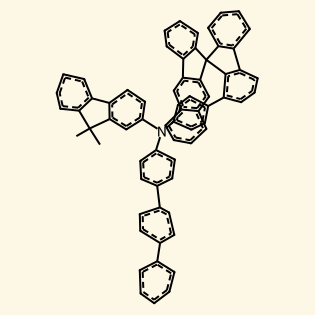 CC1(C)c2ccccc2-c2ccc(N(c3ccc(-c4ccc(-c5ccccc5)cc4)cc3)c3ccc(-c4cccc5c4C4(c6ccccc6-c6cc7ccccc7cc64)c4ccccc4-5)cc3)cc21